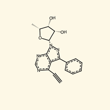 C#Cc1ncnc2c1c(-c1ccccc1)nn2[C@@H]1O[C@H](C)[C@H](O)[C@@H]1O